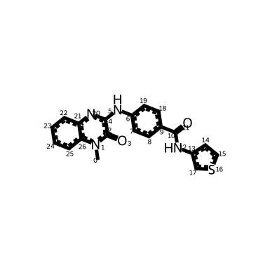 Cn1c(=O)c(Nc2ccc(C(=O)Nc3ccsc3)cc2)nc2ccccc21